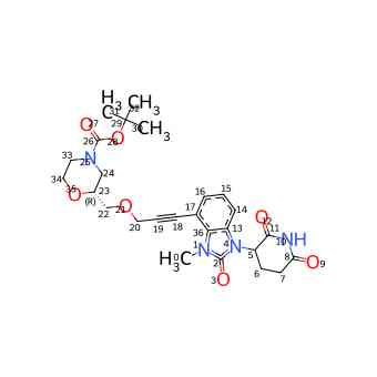 Cn1c(=O)n(C2CCC(=O)NC2=O)c2cccc(C#CCOC[C@H]3CN(C(=O)OC(C)(C)C)CCO3)c21